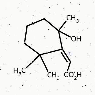 CC1(C)CCCC(C)(O)/C1=C/C(=O)O